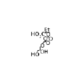 CCC(OC(=O)OC(=O)COCC(O)CO)C(=O)O